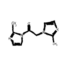 Cc1nccn1CC(=O)n1ccnc1C